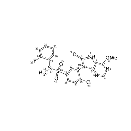 COc1ncnc2c1[nH]c(=O)n2-c1cc(S(=O)(=O)N(C)c2ccccc2F)ccc1Cl